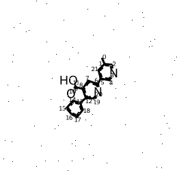 Cc1cncc(-c2cc(C(=O)O)c(-c3ccccc3)cn2)c1